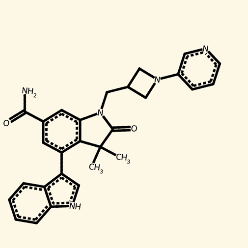 CC1(C)C(=O)N(CC2CN(c3cccnc3)C2)c2cc(C(N)=O)cc(-c3c[nH]c4ccccc34)c21